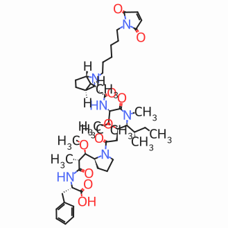 CC[C@H](C)[C@@H]([C@@H](CC(=O)N1CCC[C@H]1[C@H](OC)[C@@H](C)C(=O)N[C@@H](Cc1ccccc1)C(=O)O)OC)N(C)C(=O)[C@@H](NC(=O)[C@@H]1[C@H]2CC[C@@H]([C@H]2C)N1CCCCCCN1C(=O)C=CC1=O)C(C)C